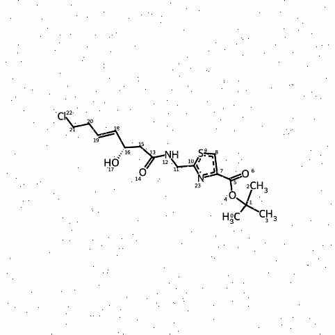 CC(C)(C)OC(=O)c1csc(CNC(=O)C[C@H](O)/C=C/CCCl)n1